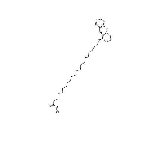 CC(C)OC(=O)CCCCCCCCCCCCCCCCCCCCOc1cccc2cc3ccccc3cc12